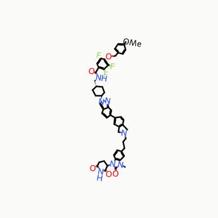 COc1ccc(COc2c(F)cc(C(=O)NC[C@H]3CC[C@H](n4cc5ccc(-c6ccc7c(c6)CN(CCCc6ccc8c(c6)n(C)c(=O)n8C6CCC(=O)NC6=O)C7)cc5n4)CC3)c(F)c2F)cc1